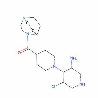 NC1CNCC(Cl)C1N1CCC(C(=O)N2CCN3CCC2CC3)CC1